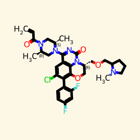 C=CC(=O)N1C[C@H](C)N(c2nc(=O)n3c4c(c(-c5ccc(F)cc5F)c(Cl)cc24)OC[C@H]3COCC2CCCN2C)C[C@H]1C